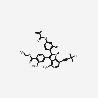 C=C(F)C(=O)Nc1ccc(-c2c(-c3ccc(C(=O)NCC(F)(F)F)c(OC)c3)c3c(N)ncc(C#CC(C)(C)O)c3n2C)c(F)c1